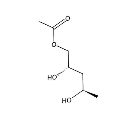 CC(=O)OC[C@@H](O)C[C@@H](C)O